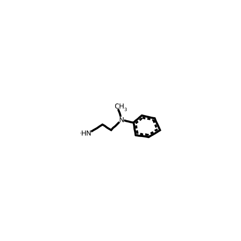 CN(CC[NH])c1ccccc1